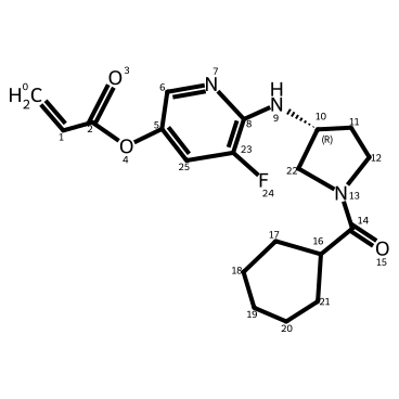 C=CC(=O)Oc1cnc(N[C@@H]2CCN(C(=O)C3CCCCC3)C2)c(F)c1